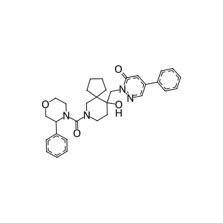 O=C(N1CCC(O)(Cn2ncc(-c3ccccc3)cc2=O)C2(CCCC2)C1)N1CCOCC1c1ccccc1